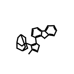 CC1=CCC(c2cccc3c2[CH]c2ccccc2-3)=C1C12CC3CC(CC(C3)C1)C2